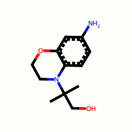 CC(C)(CO)N1CCOc2cc(N)ccc21